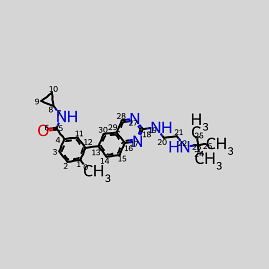 Cc1ccc(C(=O)NC2CC2)cc1-c1ccc2nc(NCCNC(C)(C)C)ncc2c1